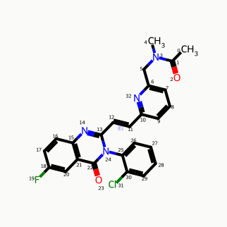 CC(=O)N(C)Cc1cccc(/C=C/c2nc3ccc(F)cc3c(=O)n2-c2ccccc2Cl)n1